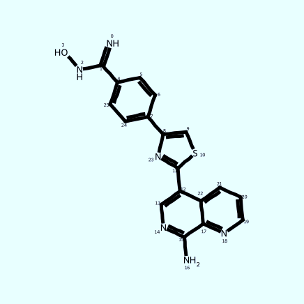 N=C(NO)c1ccc(-c2csc(-c3cnc(N)c4ncccc34)n2)cc1